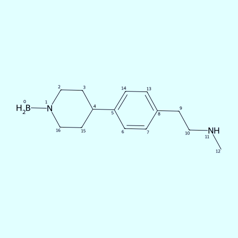 BN1CCC(c2ccc(CCNC)cc2)CC1